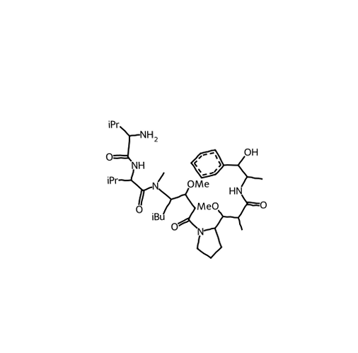 CCC(C)C(C(CC(=O)N1CCCC1C(OC)C(C)C(=O)NC(C)C(O)c1ccccc1)OC)N(C)C(=O)C(NC(=O)C(N)C(C)C)C(C)C